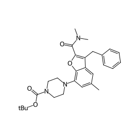 Cc1cc(N2CCN(C(=O)OC(C)(C)C)CC2)c2oc(C(=O)N(C)C)c(Cc3ccccc3)c2c1